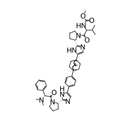 COC(=O)N[C@H](C(=O)N1CCC[C@H]1c1ncc(C23CCC(c4ccc(-c5cnc([C@@H]6CCCN6C(=O)[C@@H](c6ccccc6)N(C)C)[nH]5)cc4)(CC2)CC3)[nH]1)C(C)C